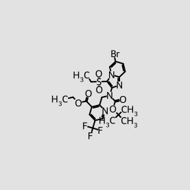 CCOC(=O)c1cc(C(F)(F)F)cnc1CN(C(=O)OC(C)(C)C)c1nc2ccc(Br)cn2c1S(=O)(=O)CC